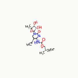 C#Cc1cn([C@@H]2O[C@H](C)C(O)C2O)c(=O)nc1NC(=O)OCC(C)SC